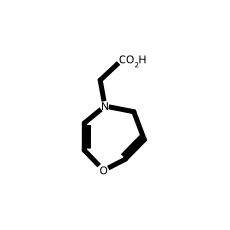 O=C(O)CN1C=COC=CC1